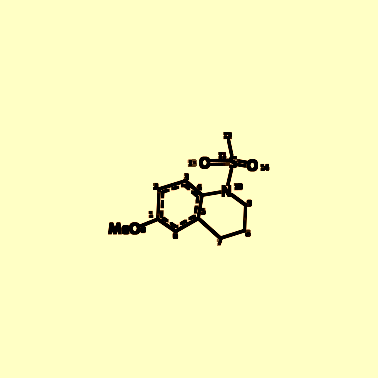 COc1ccc2c(c1)CCCN2S(C)(=O)=O